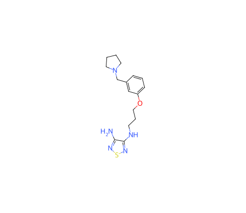 Nc1nsnc1NCCCOc1cccc(CN2CCCC2)c1